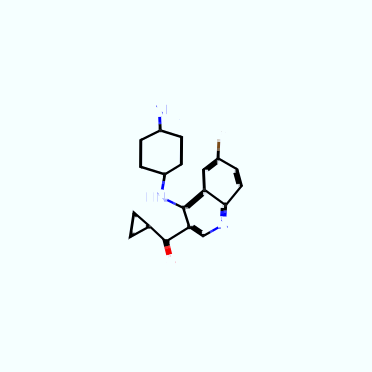 NC1CCC(Nc2c(C(=O)C3CC3)cnc3ccc(Br)cc23)CC1